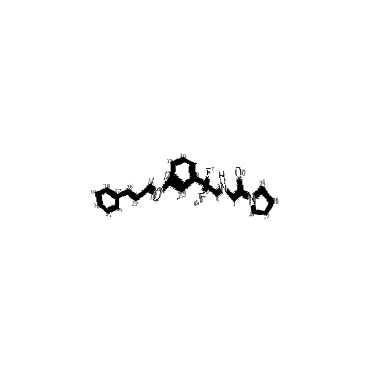 O=C(CNCC(F)(F)c1cccc(OCCCc2ccccc2)c1)N1CCCC1